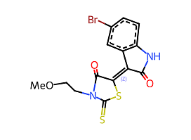 COCCN1C(=O)/C(=C2/C(=O)Nc3ccc(Br)cc32)SC1=S